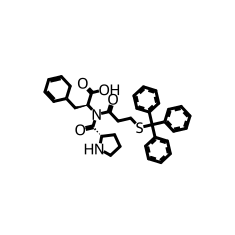 O=C(O)[C@H](CC1C=CC=CC1)N(C(=O)CCSC(c1ccccc1)(c1ccccc1)c1ccccc1)C(=O)[C@@H]1CCCN1